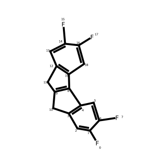 Fc1cc2c(cc1F)C1=C(C2)Cc2cc(F)c(F)cc21